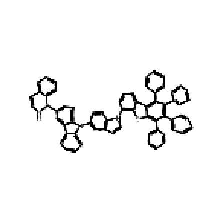 C1=Cc2ccccc2C(c2ccc3c(c2)c2ccccc2n3-c2ccc3c(ccn3-c3cccc4c3sc3c(-c5ccccc5)c(-c5ccccc5)c(-c5ccccc5)c(-c5ccccc5)c34)c2)N1